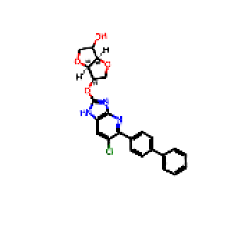 OC1CO[C@H]2[C@@H]1OC[C@H]2Oc1nc2nc(-c3ccc(-c4ccccc4)cc3)c(Cl)cc2[nH]1